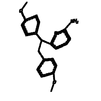 COc1ccc(CC(c2ccc(OC)cc2)c2cccc(N)n2)cc1